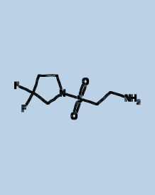 NCCS(=O)(=O)N1CCC(F)(F)C1